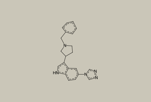 c1ccc(CN2CCC(c3c[nH]c4ccc(-n5cnnc5)cc34)C2)cc1